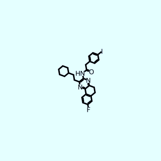 O=C(Cc1ccc(I)cc1)Nc1nc2c(nc1CCC1CCCCC1)-c1ccc(F)cc1CC2